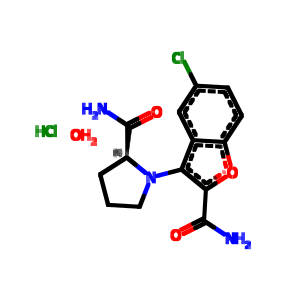 Cl.NC(=O)c1oc2ccc(Cl)cc2c1N1CCC[C@H]1C(N)=O.O